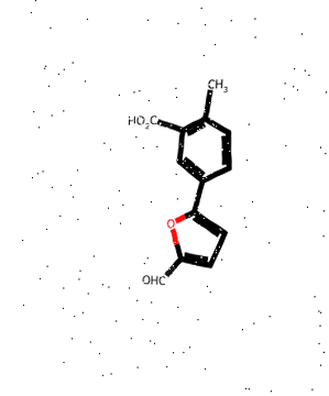 Cc1ccc(-c2ccc(C=O)o2)cc1C(=O)O